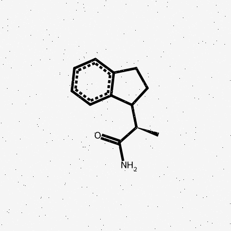 C[C@@H](C(N)=O)C1CCc2ccccc21